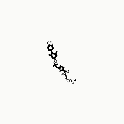 Cc1cc(OCC(C)(C)Cc2ccc(C(=O)NCCC(=O)O)s2)cc(C)c1-c1ccc(C(F)(F)F)cc1